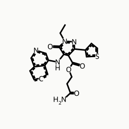 CCn1nc(-c2ccsc2)c(C(=O)OCCC(N)=O)c(Nc2cncc3ccccc23)c1=O